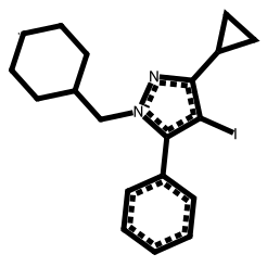 Ic1c(C2CC2)nn(CC2CC[CH]CC2)c1-c1ccccc1